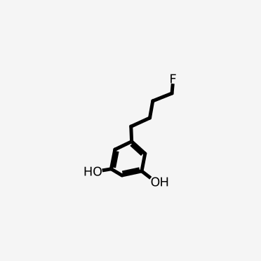 Oc1cc(O)cc(CCCCF)c1